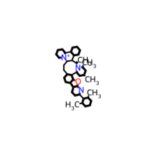 C=C1C2c3ccccc3-c3cccc[n+]3C2CCc2ccc3c(oc4nc(-c5c(C)cccc5C)ccc43)c2-c2cc(C)cc(C)[n+]21